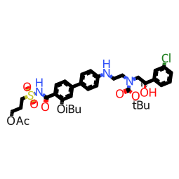 CC(=O)OCCCS(=O)(=O)NC(=O)c1ccc(-c2ccc(NCCN(C[C@H](O)c3cccc(Cl)c3)C(=O)OC(C)(C)C)cc2)cc1OCC(C)C